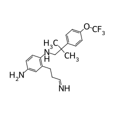 CC(C)(CNc1ccc(N)cc1CCC=N)c1ccc(OC(F)(F)F)cc1